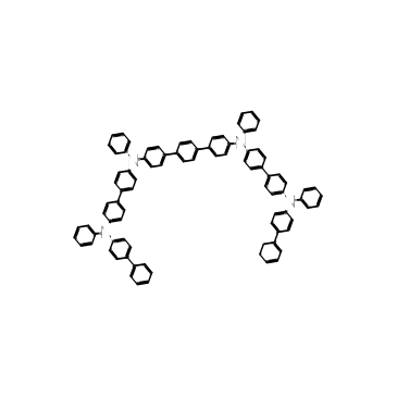 C1=CCCC(c2ccc(N(c3ccccc3)c3ccc(-c4ccc(N(c5ccccc5)c5ccc(-c6ccc(-c7ccc(N(c8ccccc8)c8ccc(-c9ccc(N(c%10ccccc%10)c%10ccc(-c%11ccccc%11)cc%10)cc9)cc8)cc7)cc6)cc5)cc4)cc3)cc2)=C1